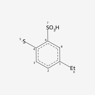 CCc1ccc([S])c(S(=O)(=O)O)c1